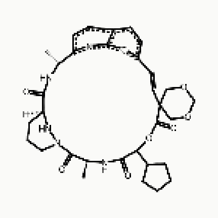 C[C@@H]1NC(=O)C(C2CCCC2)OC(=O)C2(/C=C/c3ccc4ccc(nc4c3)[C@@H](C)NC(=O)[C@@H]3CCCN(N3)C1=O)COCOC2